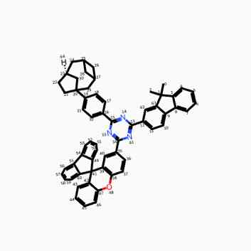 CC1(C)c2ccccc2-c2ccc(-c3nc(-c4ccc(C56CC[C@@H](CC7CC(C7)C5)C6)cc4)nc(-c4ccc5c(c4)C4(c6ccccc6O5)c5ccccc5-c5ccccc54)n3)cc21